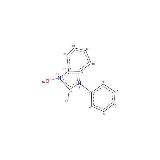 Cc1n(-c2ccccc2)c2ccccc2[n+]1[O-]